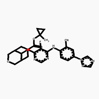 CC1(OC(=O)N2CC3COCC(C2)C3Oc2ncnc(Nc3ccc(-n4cncn4)cc3C#N)c2F)CC1